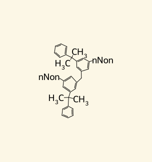 CCCCCCCCCc1cc(Cc2cc(CCCCCCCCC)cc(C(C)(C)c3ccccc3)c2)cc(C(C)(C)c2ccccc2)c1